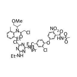 CCNc1nc(Cl)nc(NC(C)C)n1.CCc1cccc(C)c1N(C(=O)CCl)C(C)COC.CS(=O)(=O)NC(=O)c1cc(Oc2ccc(C(F)(F)F)cc2Cl)ccc1[N+](=O)[O-]